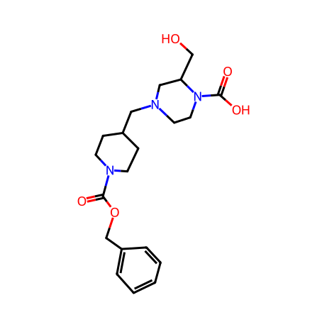 O=C(OCc1ccccc1)N1CCC(CN2CCN(C(=O)O)C(CO)C2)CC1